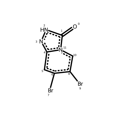 O=c1[nH]nc2cc(Br)c(Br)cn12